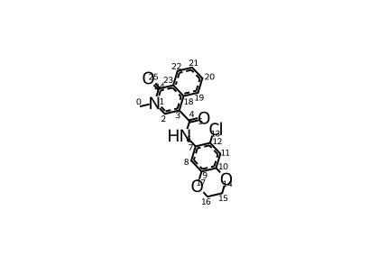 Cn1cc(C(=O)Nc2cc3c(cc2Cl)OCCO3)c2ccccc2c1=O